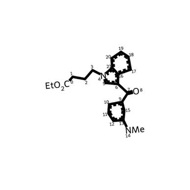 CCOC(=O)CCCn1cc(C(=O)c2cccc(NC)c2)c2ccccc21